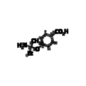 CCC(C)(N)Oc1ccc(C(=O)O)cc1